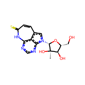 C[C@@]1(O)[C@H](O)[C@@H](CO)O[C@H]1n1cc2c3c(ncnc31)NC(=S)C=C2